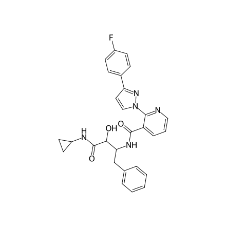 O=C(NC(Cc1ccccc1)C(O)C(=O)NC1CC1)c1cccnc1-n1ccc(-c2ccc(F)cc2)n1